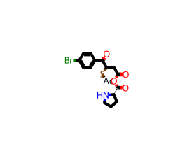 CC(=O)SC(CC(=O)OC(=O)[C@@H]1CCCN1)C(=O)c1ccc(Br)cc1